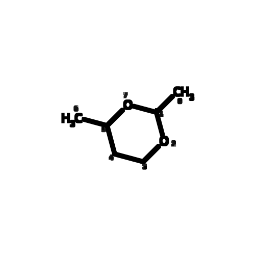 C[C]1OCCC(C)O1